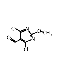 COc1nc(Cl)c(C=O)c(Cl)n1